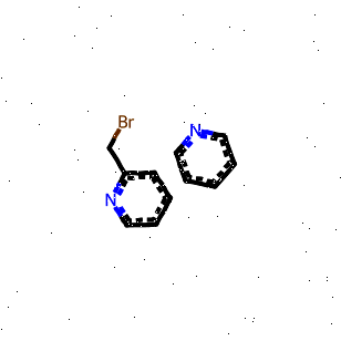 BrCc1ccccn1.c1ccncc1